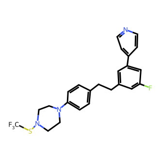 Fc1cc(CCc2ccc(N3CCN(SC(F)(F)F)CC3)cc2)cc(-c2ccncc2)c1